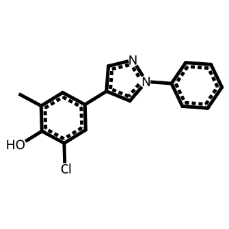 Cc1cc(-c2cnn(-c3ccccc3)c2)cc(Cl)c1O